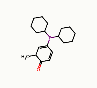 CC1C=C(P(C2CCCCC2)C2CCCCC2)C=CC1=O